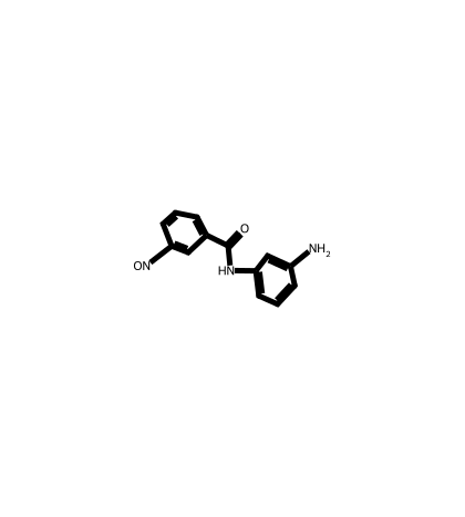 Nc1cccc(NC(=O)c2cccc(N=O)c2)c1